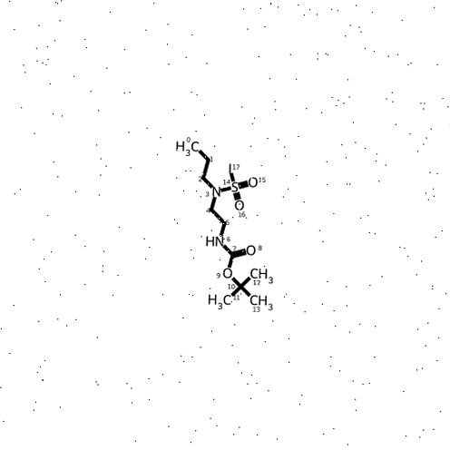 CCCN(CCNC(=O)OC(C)(C)C)S(=O)(=O)I